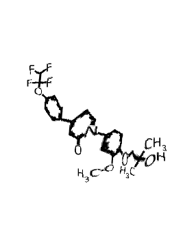 COc1cc(-n2ccc(-c3ccc(OC(F)(F)C(F)F)cc3)cc2=O)ccc1OCC(C)(C)O